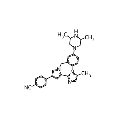 Cc1cnc2n1-c1ccc(N3CC(C)N[C@H](C)C3)cc1Cn1cc(-c3ccc(C#N)cc3)cc1-2